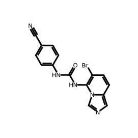 N#Cc1ccc(NC(=O)Nc2c(Br)ccc3cncn23)cc1